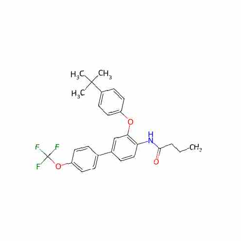 CCCC(=O)Nc1ccc(-c2ccc(OC(F)(F)F)cc2)cc1Oc1ccc(C(C)(C)C)cc1